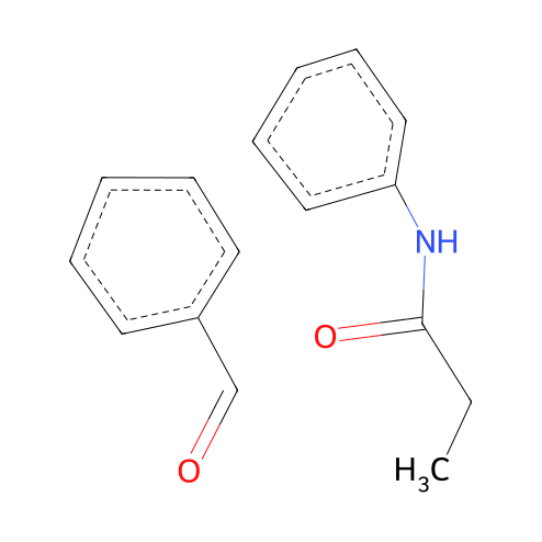 CCC(=O)Nc1ccccc1.O=Cc1ccccc1